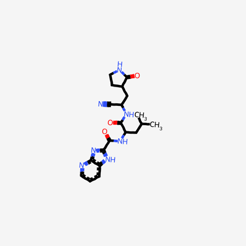 CC(C)CC(NC(=O)c1nc2ncccc2[nH]1)C(=O)NC(C#N)CC1CCNC1=O